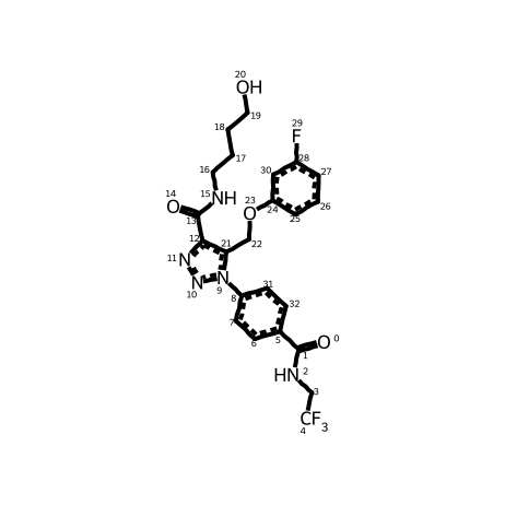 O=C(NCC(F)(F)F)c1ccc(-n2nnc(C(=O)NCCCCO)c2COc2cccc(F)c2)cc1